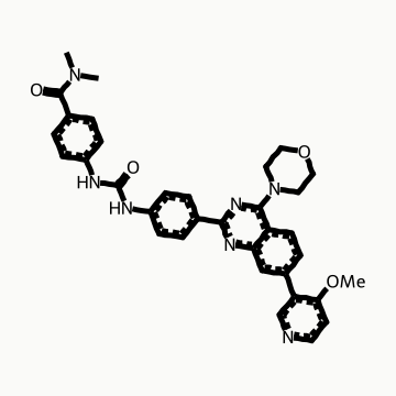 COc1ccncc1-c1ccc2c(N3CCOCC3)nc(-c3ccc(NC(=O)Nc4ccc(C(=O)N(C)C)cc4)cc3)nc2c1